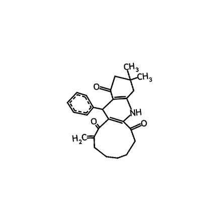 C=C1CCCCCC(=O)C2=C(C1=O)C(c1ccccc1)C1=C(CC(C)(C)CC1=O)N2